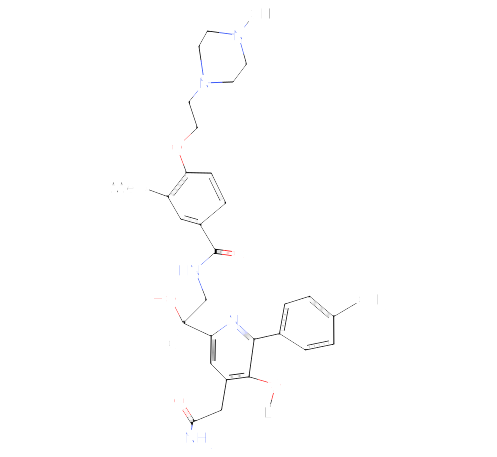 CCOc1c(CC(N)=O)cc([C@@](O)(CNC(=O)c2ccc(OCCN3CCN(C)CC3)c(OC)c2)C(F)(F)F)nc1-c1ccc(C)cc1